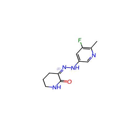 Cc1ncc(N/N=C2/CCCNC2=O)cc1F